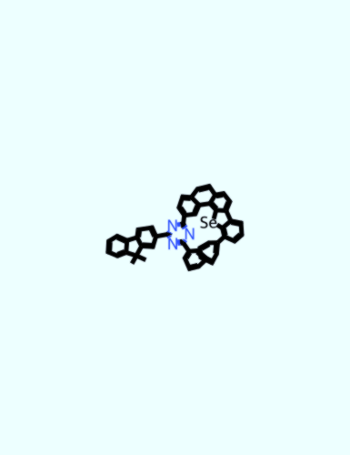 CC1(C)c2ccccc2-c2ccc(-c3nc(-c4ccccc4)nc(-c4ccc5ccc6ccc7c8cccc(-c9ccccc9)c8[se]c7c6c5c4)n3)cc21